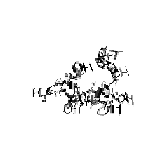 CC[N+](CCO)(CCO)CCO.CC[N+](CCO)(CCO)CCO.O=S(=O)([O-])[O-]